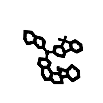 CC1(C)c2ccccc2-c2ccc(N(c3ccc4ccccc4c3)c3ccc4ccc5ccc6c7ccccc7[se]c6c5c4c3)cc21